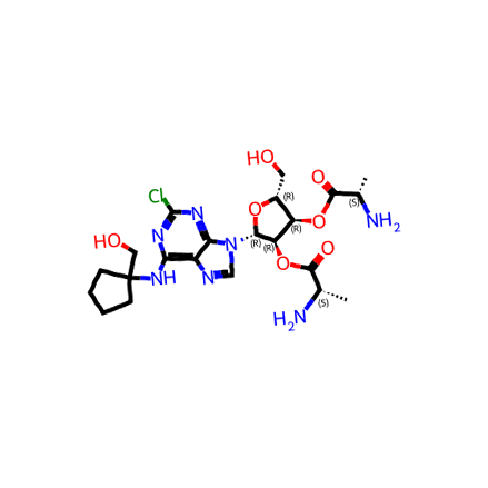 C[C@H](N)C(=O)O[C@@H]1[C@H](OC(=O)[C@H](C)N)[C@@H](CO)O[C@H]1n1cnc2c(NC3(CO)CCCC3)nc(Cl)nc21